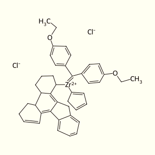 CCOc1ccc([C](c2ccc(OCC)cc2)=[Zr+2]([C]2=CC=CC2)[CH]2CCCC3C2=C2Cc4ccccc4C2=C2C=CCCC23)cc1.[Cl-].[Cl-]